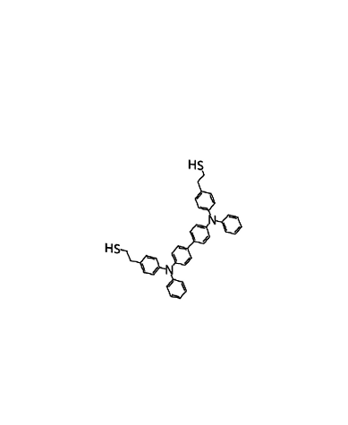 SCCc1ccc(N(c2ccccc2)c2ccc(-c3ccc(N(c4ccccc4)c4ccc(CCS)cc4)cc3)cc2)cc1